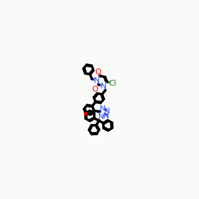 O=c1cc(Cl)n(Cc2ccc(-c3ccccc3-c3nnnn3C(c3ccccc3)(c3ccccc3)c3ccccc3)cc2)c(=O)n1Cc1ccccc1